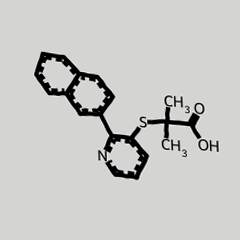 CC(C)(Sc1cccnc1-c1ccc2ccccc2c1)C(=O)O